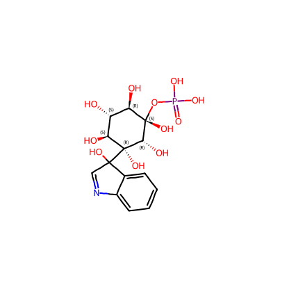 O=P(O)(O)O[C@@]1(O)[C@H](O)[C@@H](O)[C@H](O)[C@](O)(C2(O)C=Nc3ccccc32)[C@H]1O